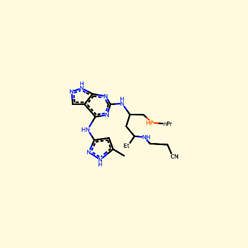 CCCPCC(CC(CC)NCCC#N)Nc1nc(Nc2cc(C)[nH]n2)c2cn[nH]c2n1